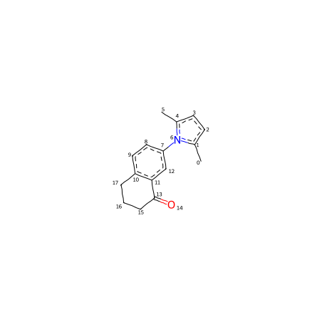 Cc1ccc(C)n1-c1ccc2c(c1)C(=O)CCC2